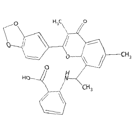 Cc1cc(C(C)Nc2ccccc2C(=O)O)c2oc(-c3ccc4c(c3)OCO4)c(C)c(=O)c2c1